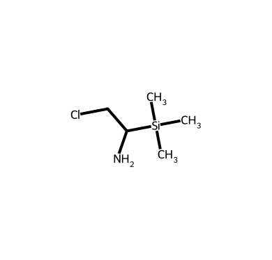 C[Si](C)(C)C(N)CCl